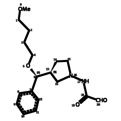 COCCCCO[C@@H](c1ccccc1)[C@@H]1CCN(NC(=O)C=O)C1